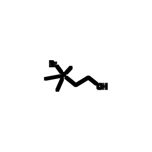 CP(C)(C)(Br)CCO